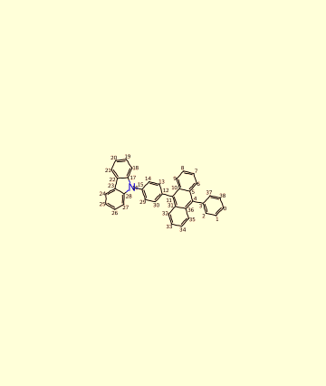 c1ccc(-c2c3ccccc3c(-c3ccc(-n4c5ccccc5c5ccccc54)cc3)c3ccccc23)cc1